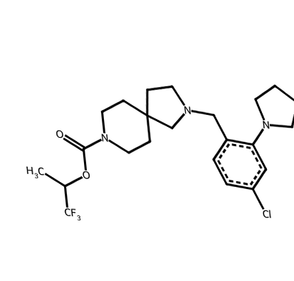 CC(OC(=O)N1CCC2(CCN(Cc3ccc(Cl)cc3N3CCCC3)C2)CC1)C(F)(F)F